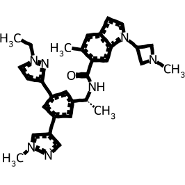 CCn1ccc(-c2cc(-c3cnn(C)c3)cc([C@@H](C)NC(=O)c3cc4c(ccn4C4CN(C)C4)cc3C)c2)n1